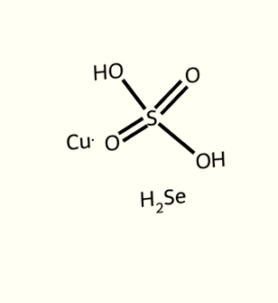 O=S(=O)(O)O.[Cu].[SeH2]